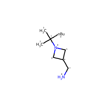 CCCCC(C)(C)N1CC(CN)C1